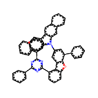 c1ccc(-c2nc(-c3ccccc3)nc(-c3cccc4oc5c(-c6ccccc6)cc(-n6c7cc8ccccc8cc7c7cc8ccccc8cc76)cc5c34)n2)cc1